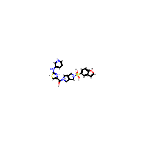 O=C(c1csc(Nc2cccnc2)n1)N1CC2=C(C1)CN(S(=O)(=O)c1ccc3occc3c1)C2